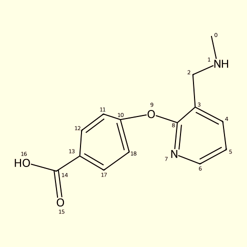 CNCc1cccnc1Oc1ccc(C(=O)O)cc1